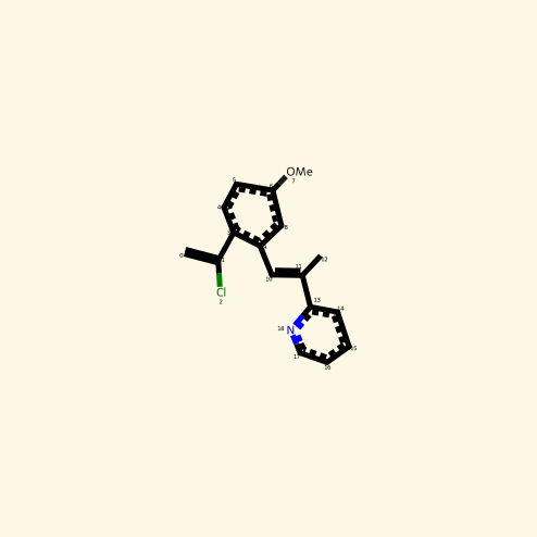 C=C(Cl)c1ccc(OC)cc1/C=C(\C)c1ccccn1